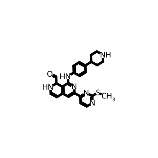 CSc1nccc(-c2cc3c(c(Nc4ccc(C5CCNCC5)cc4)n2)C(C=O)NC=C3)n1